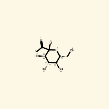 CC(=O)C1(Cl)O[C@H](CO)[C@@H](O)[C@H](O)[C@H]1O